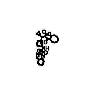 O=c1oc2c(c(O)c1C(c1cccc(NS(=O)(=O)c3ncc4ccccc4n3)c1)C1CC1)CCCCCC2